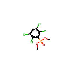 COP(=O)(OC)c1c(Cl)c(Cl)cc(Cl)c1Cl